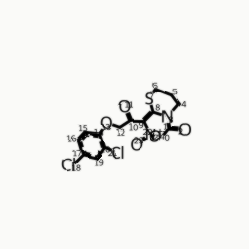 CC(=O)N1CCCSC1=C(C(=O)COc1ccc(Cl)cc1Cl)[N+](=O)[O-]